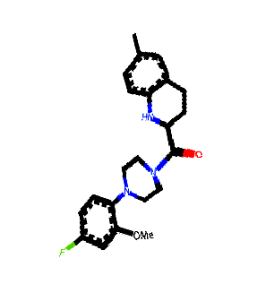 COc1cc(F)ccc1N1CCN(C(=O)C2CCc3cc(C)ccc3N2)CC1